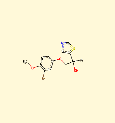 CC(C)C(O)(COc1ccc(OC(F)(F)F)c(Br)c1)c1cncs1